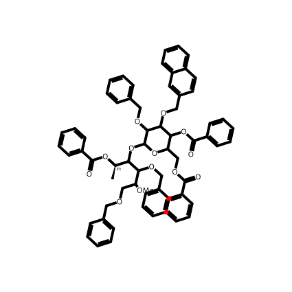 COC(COCc1ccccc1)C(OCc1ccccc1)C(OC1OC(COC(=O)c2ccccc2)C(OC(=O)c2ccccc2)C(OCc2ccc3ccccc3c2)C1OCc1ccccc1)[C@@H](C)OC(=O)c1ccccc1